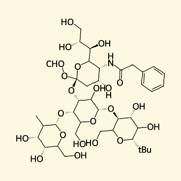 CC1[C@H](O[C@H]2C(CO)O[C@@H](O[C@@H]3C(CO)O[C@@H](C(C)(C)C)C(O)[C@H]3O)C(O)[C@H]2O[C@]2(OC=O)C[C@@H](O)[C@@H](NC(=O)Cc3ccccc3)C([C@H](O)[C@H](O)CO)O2)OC(CO)[C@H](O)[C@@H]1O